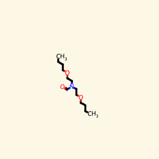 CCCCOCCN([C]=O)CCOCCCC